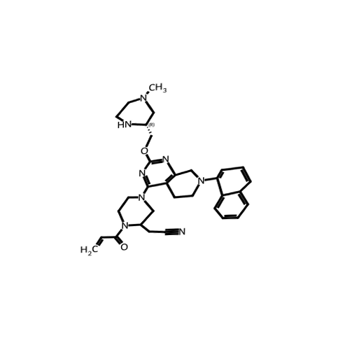 C=CC(=O)N1CCN(c2nc(OC[C@H]3CN(C)CCN3)nc3c2CCN(c2cccc4ccccc24)C3)CC1CC#N